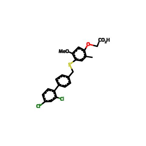 COc1cc(OCC(=O)O)c(C)cc1SCc1ccc(-c2ccc(Cl)cc2Cl)cc1